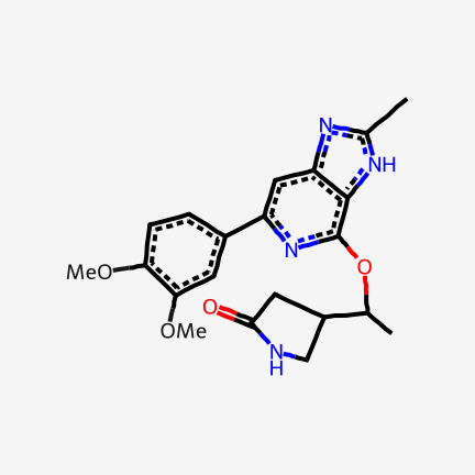 COc1ccc(-c2cc3nc(C)[nH]c3c(OC(C)C3CNC(=O)C3)n2)cc1OC